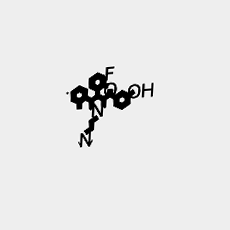 Cc1c[c]ccc1C1CN(CCCCN(C)C)CC(C(=O)c2cccc(O)c2)C1c1cccc(F)c1C